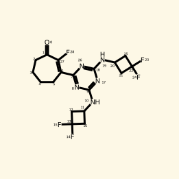 O=C1CCCCC(c2nc(NC3CC(F)(F)C3)nc(NC3CC(F)(F)C3)n2)=C1F